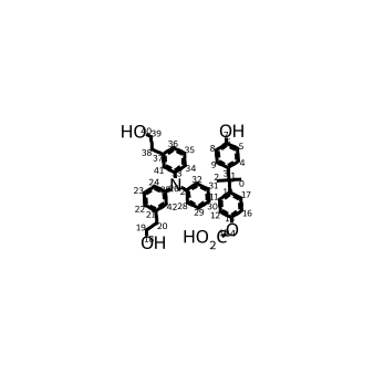 CC(C)(c1ccc(O)cc1)c1ccc(OC(=O)O)cc1.OCCc1cccc(N(c2ccccc2)c2cccc(CCO)c2)c1